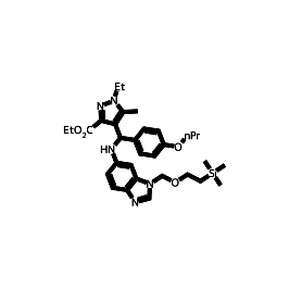 CCCOc1ccc(C(Nc2ccc3ncn(COCC[Si](C)(C)C)c3c2)c2c(C(=O)OCC)nn(CC)c2C)cc1